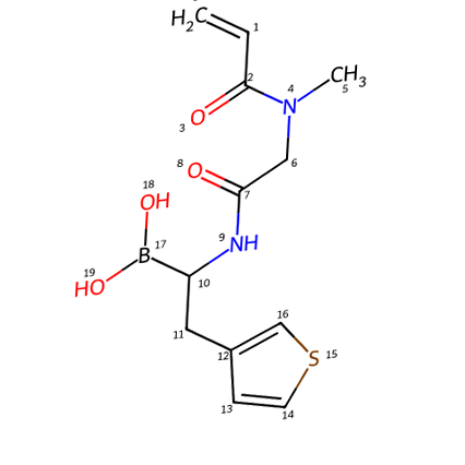 C=CC(=O)N(C)CC(=O)NC(Cc1ccsc1)B(O)O